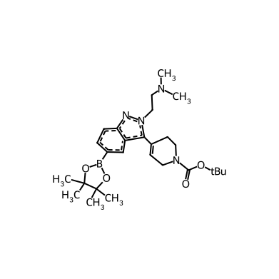 CN(C)CCn1nc2ccc(B3OC(C)(C)C(C)(C)O3)cc2c1C1=CCN(C(=O)OC(C)(C)C)CC1